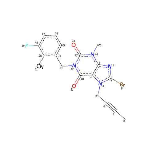 CC#CCn1c(Br)nc2c1c(=O)n(Cc1cccc(F)c1C#N)c(=O)n2C